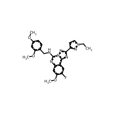 CCn1c[c]c(-c2nc3c4cc(F)c(OC)cc4nc(NCc4ccc(OC)cc4OC)n3n2)n1